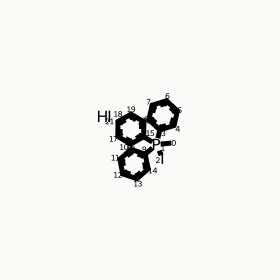 CP(I)(c1ccccc1)(c1ccccc1)c1ccccc1.I